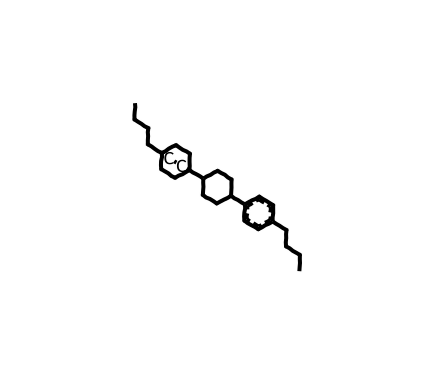 CCCCc1ccc(C2CCC(C34CCC(CCCC)(CC3)CC4)CC2)cc1